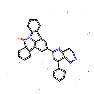 O=c1c2ccccc2c2cc(-c3cc(-c4ccccc4)c4cnccc4n3)cc3c4ccccc4n1c23